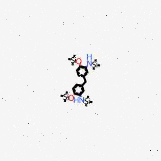 C[Si](C)(C)Nc1cc(Cc2ccc(O[Si](C)(C)C)c(N[Si](C)(C)C)c2)ccc1O[Si](C)(C)C